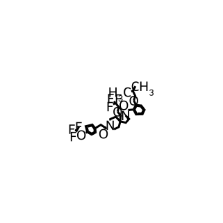 CC(C)COc1ccccc1CN1CCC2(CCN(C(=O)Cc3ccc(OC(F)(F)F)cc3)CC2)C1OC(=O)C(F)(F)F